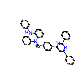 B(c1ccc(-c2cc(-c3ccccc3)nc(-c3ccccc3)n2)cc1)N(c1ccccc1)c1ccccc1Nc1ccccc1